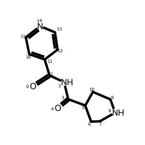 O=C(NC(=O)C1CCNCC1)c1ccncc1